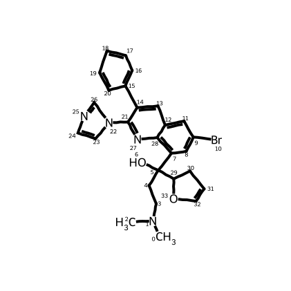 CN(C)CCC(O)(c1cc(Br)cc2cc(-c3ccccc3)c(-n3ccnc3)nc12)C1CC=CO1